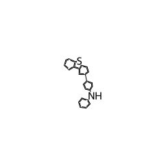 c1ccc(Nc2ccc(-c3ccc4sc5ccccc5c4c3)cc2)cc1